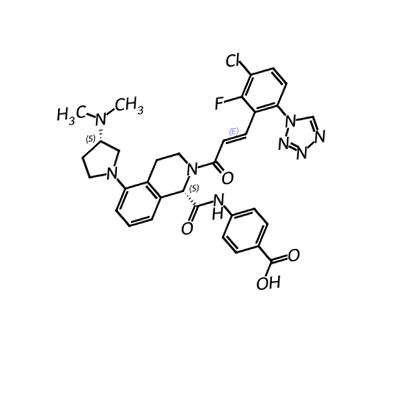 CN(C)[C@H]1CCN(c2cccc3c2CCN(C(=O)/C=C/c2c(-n4cnnn4)ccc(Cl)c2F)[C@@H]3C(=O)Nc2ccc(C(=O)O)cc2)C1